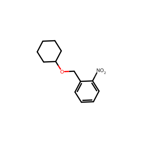 O=[N+]([O-])c1ccccc1COC1CCCCC1